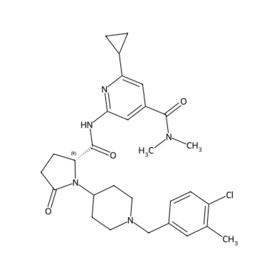 Cc1cc(CN2CCC(N3C(=O)CC[C@@H]3C(=O)Nc3cc(C(=O)N(C)C)cc(C4CC4)n3)CC2)ccc1Cl